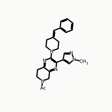 CC(=O)N1CCc2nc(N3CCC(=Cc4ccccc4)CC3)c(-c3cnn(C)c3)nc2C1